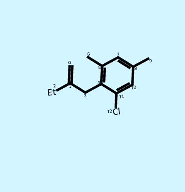 C=C(CC)Cc1c(C)cc(C)cc1Cl